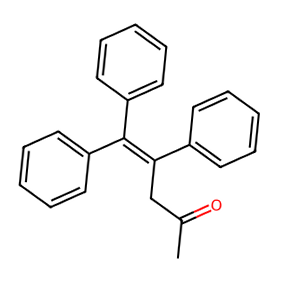 CC(=O)CC(=C(c1ccccc1)c1ccccc1)c1ccccc1